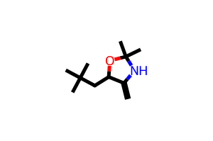 C=C1NC(C)(C)OC1CC(C)(C)C